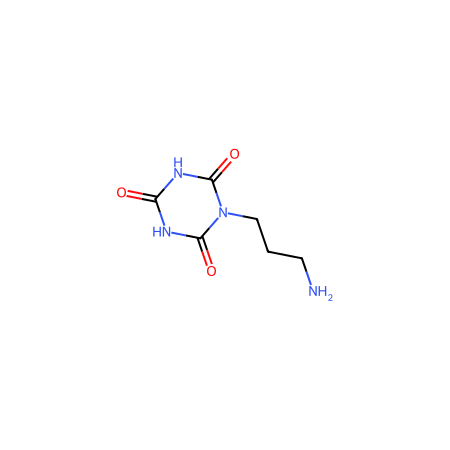 NCCCn1c(=O)[nH]c(=O)[nH]c1=O